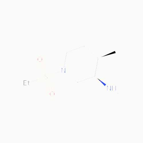 CCS(=O)(=O)N1CC[C@@H](C)[C@@H](N)C1